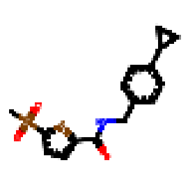 CS(=O)(=O)c1ccc(C(=O)NCc2ccc(C3CC3)cc2)s1